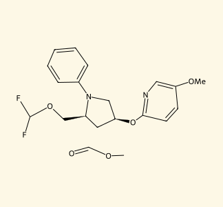 COC=O.COc1ccc(O[C@H]2C[C@@H](COC(F)F)N(c3ccccc3)C2)nc1